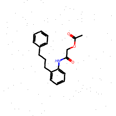 CC(=O)OCC(=O)Nc1ccccc1CCCc1ccccc1